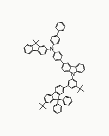 CC(C)(C)c1cc(-c2ccc3c(c2)C(c2ccccc2)(c2ccccc2)c2cc(C(C)(C)C)ccc2-3)cc(-n2c3ccccc3c3cc(-c4ccc(N(c5ccc(-c6ccccc6)cc5)c5ccc6c(c5)C(C)(C)c5ccccc5-6)cc4)ccc32)c1